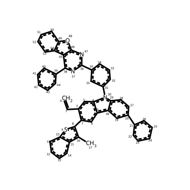 C=Cc1cc2c(cc1-c1sc3ccccc3c1C)c1cc(-c3ccccc3)ccc1n2-c1cccc(-c2nc(-c3ccccc3)c3c(n2)oc2ccccc23)c1